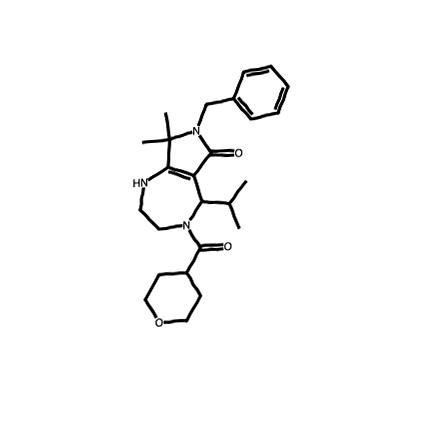 CC(C)C1C2=C(NCCN1C(=O)C1CCOCC1)C(C)(C)N(Cc1ccccc1)C2=O